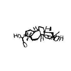 C[C@@]1(O)CC[C@@]2(CO)[C@H](CC[C@H]3[C@@H]4CC[C@H](C(=O)O)[C@@]4(C)CC[C@@H]32)C1